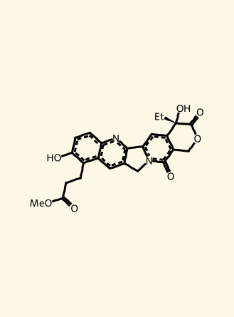 CC[C@@]1(O)C(=O)OCc2c1cc1n(c2=O)Cc2cc3c(CCC(=O)OC)c(O)ccc3nc2-1